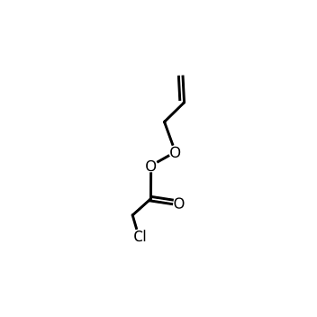 C=CCOOC(=O)CCl